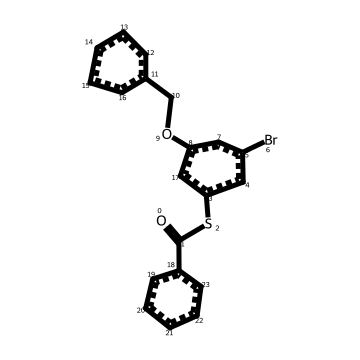 O=C(Sc1cc(Br)cc(OCc2ccccc2)c1)c1ccccc1